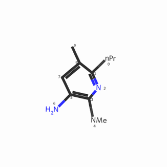 CCCc1nc(NC)c(N)cc1C